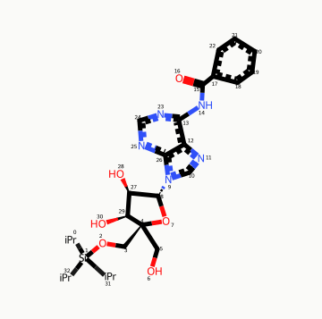 CC(C)[Si](OC[C@]1(CO)O[C@@H](n2cnc3c(NC(=O)c4ccccc4)ncnc32)[C@H](O)[C@@H]1O)(C(C)C)C(C)C